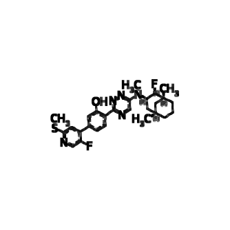 CSc1cc(-c2ccc(-c3ncc(N(C)[C@@H]4C[C@@]5(C)CCC[C@](C)(C5)[C@@H]4F)nn3)c(O)c2)c(F)cn1